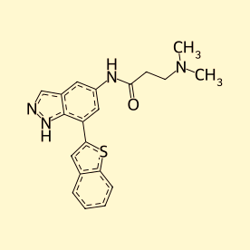 CN(C)CCC(=O)Nc1cc(-c2cc3ccccc3s2)c2[nH]ncc2c1